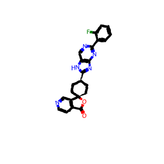 O=C1O[C@]2(CC[C@H](c3nc4nc(-c5ccccc5F)ncc4[nH]3)CC2)c2cnccc21